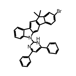 CC1(C)c2cc(Br)ccc2-c2cc3c(cc21)c1ccccc1n3C1N=C(c2ccccc2)C=C(c2ccccc2)N1